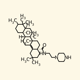 CC1CC[C@]2(C)[C@H]3CCC4=C5CC(C)(C)CC[C@]5(C(=O)NCCN5CCNCC5)CC[C@@]4(C)[C@]3(C)CC[C@H]2C1(C)C